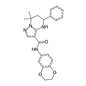 CC1(C)CC(c2ccccc2)Nc2c(C(=O)Nc3ccc4c(c3)OCCO4)cnn21